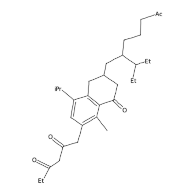 CCC(=O)CC(=O)Cc1cc(C(C)C)c2c(c1C)C(=O)CC(CC(CCCC(C)=O)C(CC)CC)C2